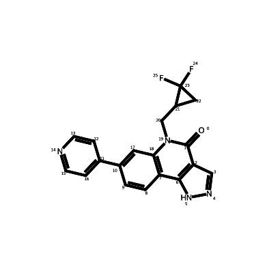 O=c1c2cn[nH]c2c2ccc(-c3ccncc3)cc2n1CC1CC1(F)F